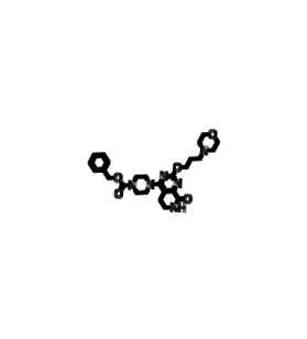 O=C1NCCc2c1nc(OCCCN1CCOCC1)nc2N1CCN(C(=O)OCc2ccccc2)CC1